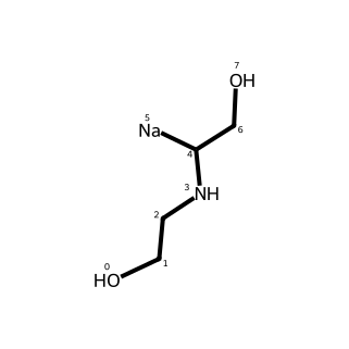 OCCN[CH]([Na])CO